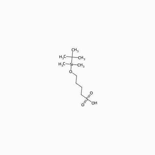 CC(C)(C)[Si](C)(C)OCCCCS(=O)(=O)O